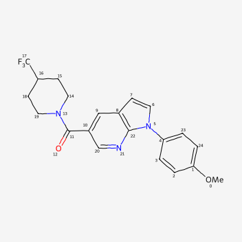 COc1ccc(-n2ccc3cc(C(=O)N4CCC(C(F)(F)F)CC4)cnc32)cc1